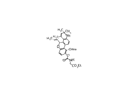 CC=CC1Oc2ccc(OC(=O)NCC(=O)OCC)c(OC)c2-c2ccc3c(c21)C(C)=CC(C)(C)N3